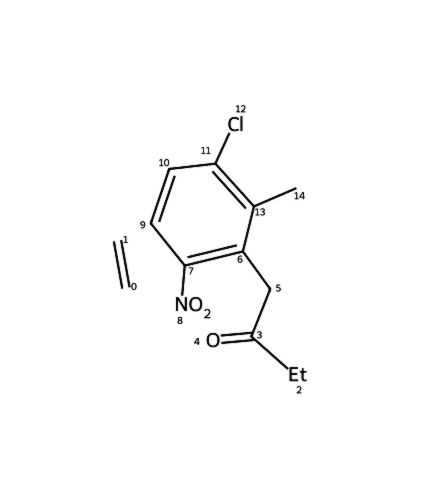 C=C.CCC(=O)Cc1c([N+](=O)[O-])ccc(Cl)c1C